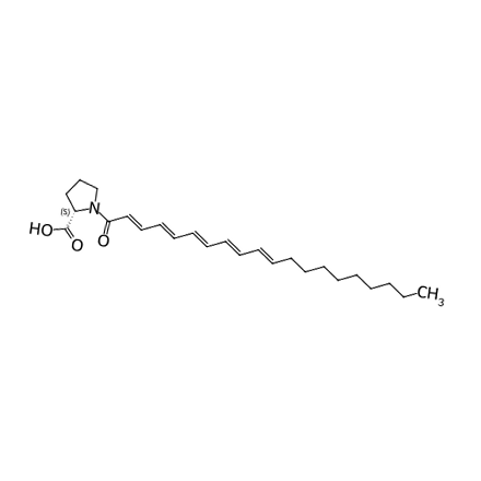 CCCCCCCCCC=CC=CC=CC=CC=CC(=O)N1CCC[C@H]1C(=O)O